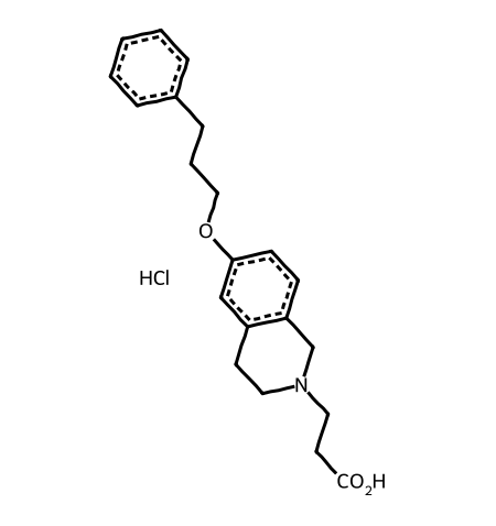 Cl.O=C(O)CCN1CCc2cc(OCCCc3ccccc3)ccc2C1